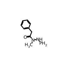 CN(NP)C(=O)Cc1ccccc1